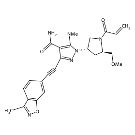 C=CC(=O)N1C[C@@H](n2nc(C#Cc3ccc4c(C)noc4c3)c(C(N)=O)c2NC)C[C@@H]1COC